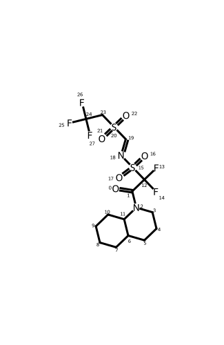 O=C(N1CCCC2CCCCC21)C(F)(F)S(=O)(=O)/N=C/S(=O)(=O)CC(F)(F)F